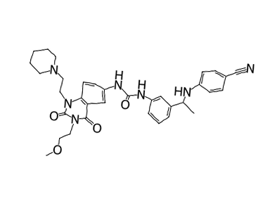 COCCn1c(=O)c2cc(NC(=O)Nc3cccc(C(C)Nc4ccc(C#N)cc4)c3)ccc2n(CCN2CCCCC2)c1=O